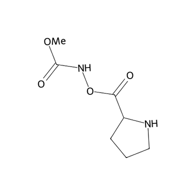 COC(=O)NOC(=O)C1CCCN1